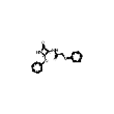 O=C(COc1ccccc1)N[C@@H]1C(=O)N[C@@H]1[Se]c1ccccc1